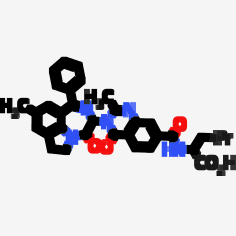 Cc1cc2c3c(c1)C(c1ccccc1)=NC(n1c(C)nc4cc(C(=O)NC(CC(C)C)C(=O)O)ccc4c1=O)C(=O)N3CC2